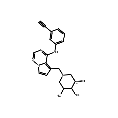 C#Cc1cccc(Nc2ncnn3ccc(CN4CC(O)C(N)[C@H](O)C4)c23)c1